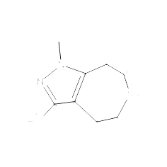 Cn1nc(O)c2c1CCSCC2